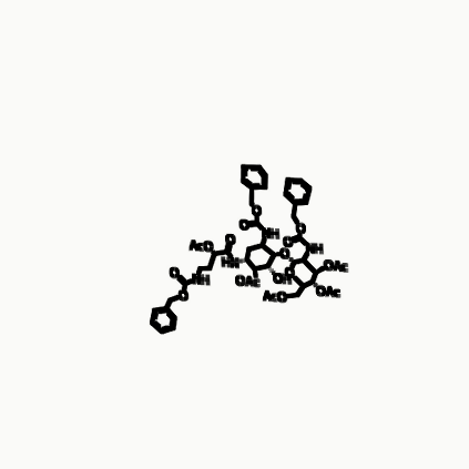 CC(=O)OCC1O[C@H](O[C@@H]2C(NC(=O)OCc3ccccc3)C[C@@H](NC(=O)[C@H](CCNC(=O)OCc3ccccc3)OC(C)=O)C(OC(C)=O)[C@H]2O)C(NC(=O)OCc2ccccc2)[C@@H](OC(C)=O)[C@@H]1OC(C)=O